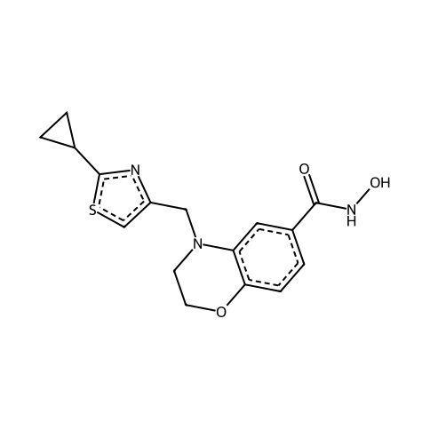 O=C(NO)c1ccc2c(c1)N(Cc1csc(C3CC3)n1)CCO2